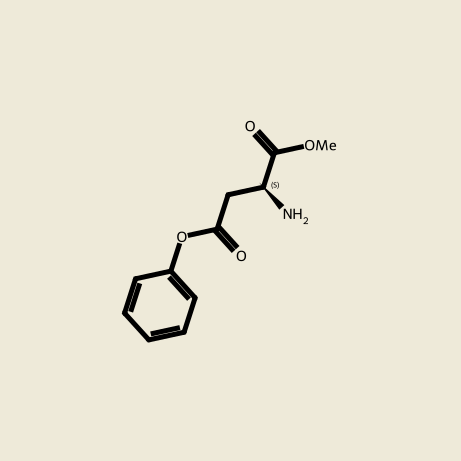 COC(=O)[C@@H](N)CC(=O)Oc1ccccc1